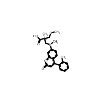 COC[C@@](C)(CN(C)c1ccc2c(-c3ccccc3C)cc(=O)oc2c1)C(=O)O